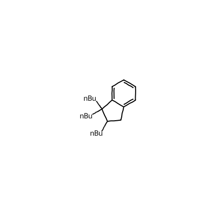 CCCCC1Cc2ccccc2C1(CCCC)CCCC